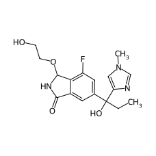 CCC(O)(c1cc(F)c2c(c1)C(=O)NC2OCCO)c1cn(C)cn1